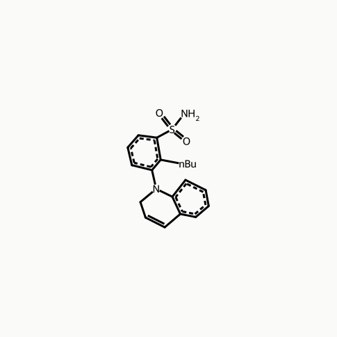 CCCCc1c(N2CC=Cc3ccccc32)cccc1S(N)(=O)=O